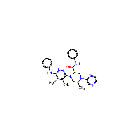 Cc1c(Nc2ccccc2)nnc(N2CC(C)N(c3cnccn3)C[C@@H]2C(=O)Nc2ccccc2)c1C